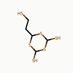 SCCC1SC(S)SC(S)S1